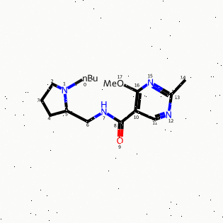 CCCCN1CCCC1CNC(=O)c1cnc(C)nc1OC